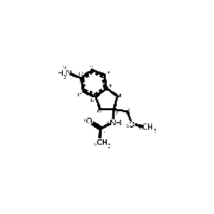 COCC1(NC(C)=O)Cc2ccc(N)cc2C1